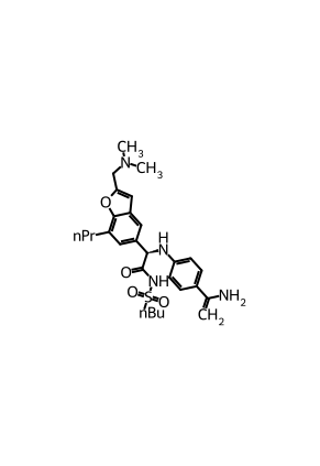 C=C(N)c1ccc(N[C@@H](C(=O)NS(=O)(=O)CCCC)c2cc(CCC)c3oc(CN(C)C)cc3c2)cc1